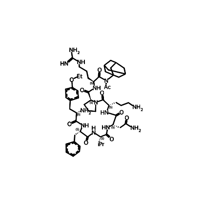 CCOc1ccc(C[C@H](N)C(=O)N[C@@H](Cc2ccccc2)C(=O)N[C@H](C(=O)N[C@@H](CC(N)=O)C(=O)N[C@@H](CCCN)C(=O)N2CCC[C@H]2C(=O)N[C@@H](CCCNC(=N)N)C(=O)N(C(C)=O)C23CC4CC(CC(C4)C2)C3)C(C)C)cc1